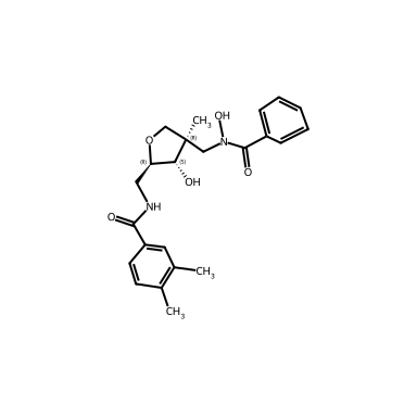 Cc1ccc(C(=O)NC[C@H]2OC[C@@](C)(CN(O)C(=O)c3ccccc3)[C@@H]2O)cc1C